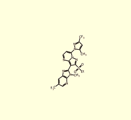 CCS(=O)(=O)c1nn2c(-n3nc(C(F)(F)F)cc3C)ccnc2c1-c1nc2cc(C(F)(F)F)cnc2n1C